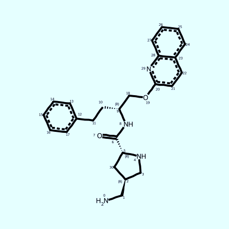 NC[C@@H]1CN[C@@H](C(=O)N[C@H](CCc2ccccc2)COc2ccc3ccccc3n2)C1